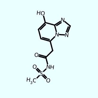 CS(=O)(=O)NC(=O)Cc1ccc(O)c2ncnn12